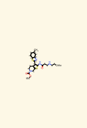 COCCNCCC(=O)Nc1sc2c(c1-c1nc3cc(C)ccc3s1)CCN(C(=O)OC(C)(C)C)C2